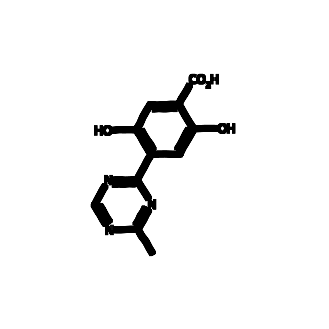 Cc1ncnc(-c2cc(O)c(C(=O)O)cc2O)n1